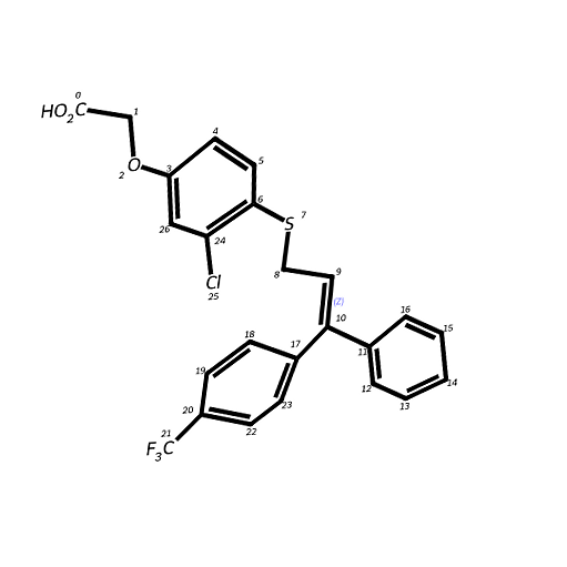 O=C(O)COc1ccc(SC/C=C(/c2ccccc2)c2ccc(C(F)(F)F)cc2)c(Cl)c1